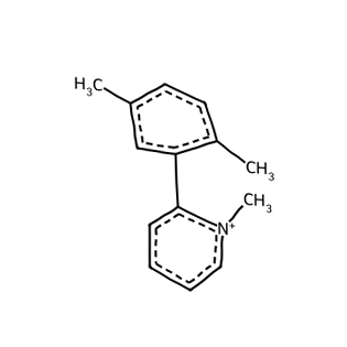 Cc1ccc(C)c(-c2cccc[n+]2C)c1